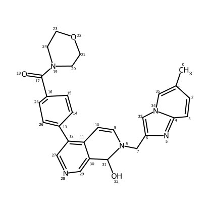 Cc1ccc2nc(CN3C=Cc4c(-c5ccc(C(=O)N6CCOCC6)cc5)cncc4C3O)cn2c1